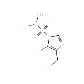 Cc1c(CCl)ncn1S(=O)(=O)N(C)C